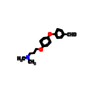 CN(C)CCCOc1ccc(Oc2ccc(C=O)cc2)cc1